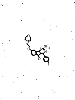 Nc1nc(-c2ccc(F)cc2)c2c(n1)-c1cc(OCCN3CCOCC3)ccc1C2=O